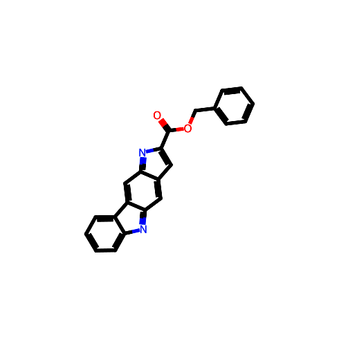 O=C(OCc1ccccc1)C1=Cc2cc3c(cc2=N1)-c1ccccc1N=3